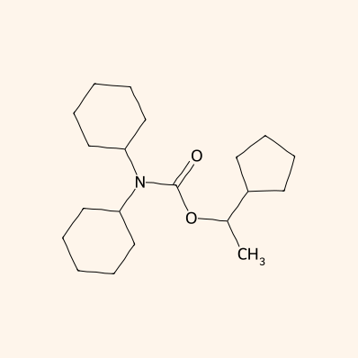 CC(OC(=O)N(C1CCCCC1)C1CCCCC1)C1CCCC1